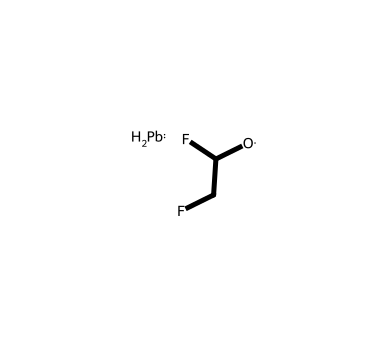 [O]C(F)CF.[PbH2]